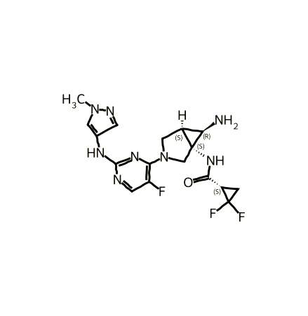 Cn1cc(Nc2ncc(F)c(N3C[C@H]4[C@@H](N)[C@@]4(NC(=O)[C@@H]4CC4(F)F)C3)n2)cn1